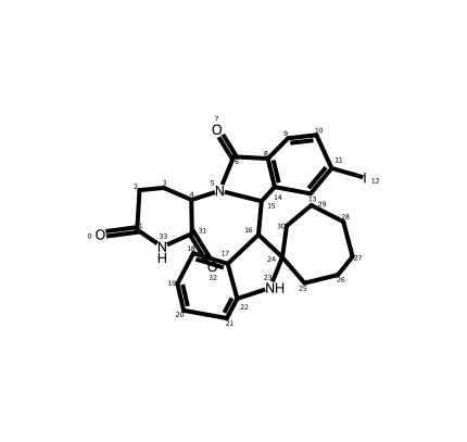 O=C1CCC(N2C(=O)c3ccc(I)cc3C2C2c3ccccc3NC23CCCCCC3)C(=O)N1